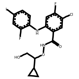 O=C(NOC(CO)C1CC1)c1cc(Cl)c(F)cc1Nc1ccc(I)cc1F